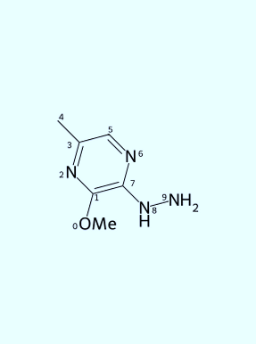 COc1nc(C)cnc1NN